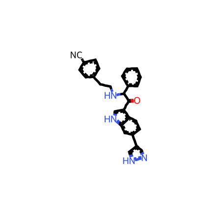 N#Cc1ccc(CCNC(C(=O)c2c[nH]c3cc(-c4cn[nH]c4)ccc23)c2ccccc2)cc1